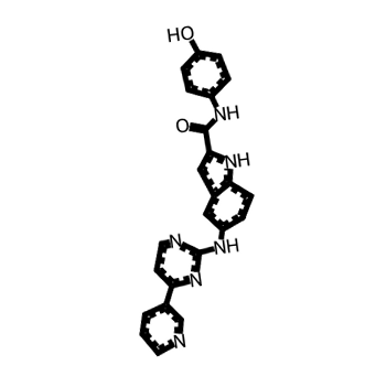 O=C(Nc1ccc(O)cc1)c1cc2cc(Nc3nccc(-c4cccnc4)n3)ccc2[nH]1